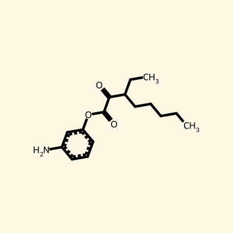 CCCCCC(CC)C(=O)C(=O)Oc1cccc(N)c1